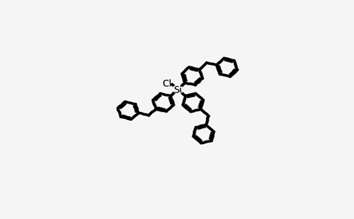 Cl[Si](c1ccc(Cc2ccccc2)cc1)(c1ccc(Cc2ccccc2)cc1)c1ccc(Cc2ccccc2)cc1